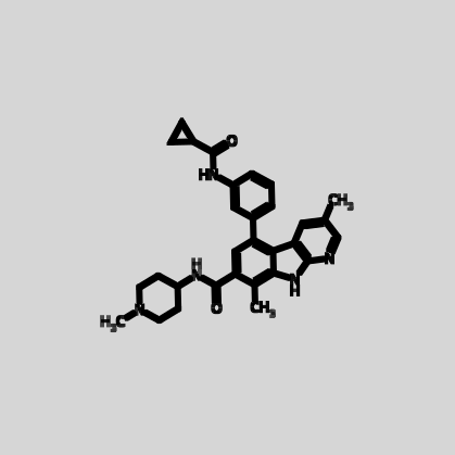 Cc1cnc2[nH]c3c(C)c(C(=O)NC4CCN(C)CC4)cc(-c4cccc(NC(=O)C5CC5)c4)c3c2c1